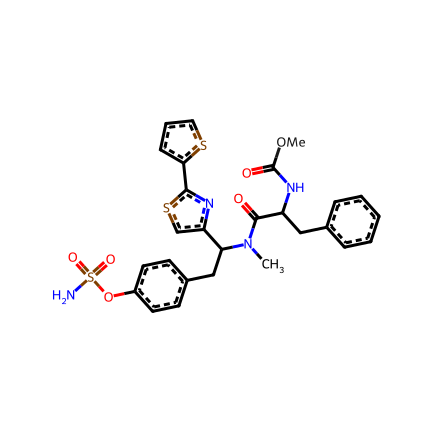 COC(=O)NC(Cc1ccccc1)C(=O)N(C)C(Cc1ccc(OS(N)(=O)=O)cc1)c1csc(-c2cccs2)n1